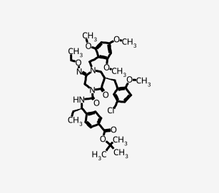 CCON=C1CN(C(=O)N[C@H](CC)c2ccc(C(=O)OC(C)(C)C)cc2)C(=O)[C@H](Cc2cc(Cl)ccc2OC)CN1Cc1c(OC)cc(OC)cc1OC